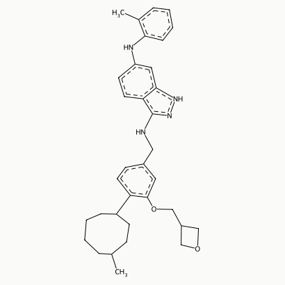 Cc1ccccc1Nc1ccc2c(NCc3ccc(C4CCCCC(C)CC4)c(OCC4COC4)c3)n[nH]c2c1